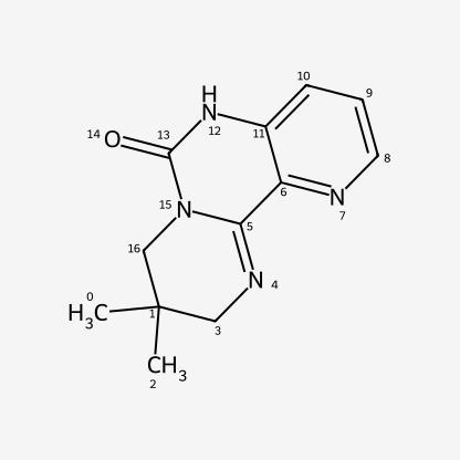 CC1(C)CN=C2c3ncccc3NC(=O)N2C1